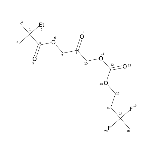 CCC(C)(C)C(=O)OCC(=O)COC(=O)OCCC(C)(F)F